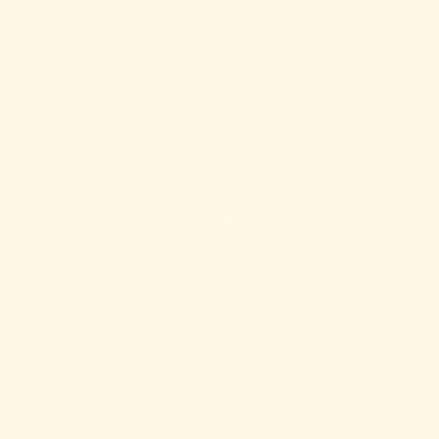 O=C1c2ccc(O)cc2CCCC1c1ccc(O)cc1